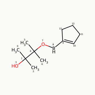 CC(C)(O)C(C)(C)OBC1=CCCC1